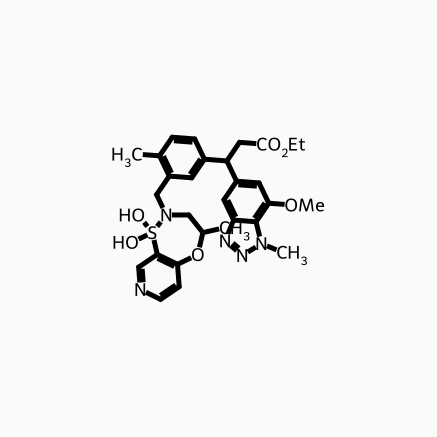 CCOC(=O)CC(c1ccc(C)c(CN2CC(C)Oc3ccncc3S2(O)O)c1)c1cc(OC)c2c(c1)nnn2C